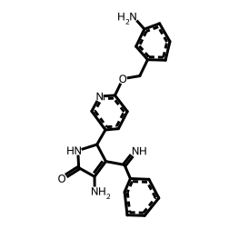 N=C(C1=C(N)C(=O)NC1c1ccc(OCc2cccc(N)c2)nc1)c1ccccc1